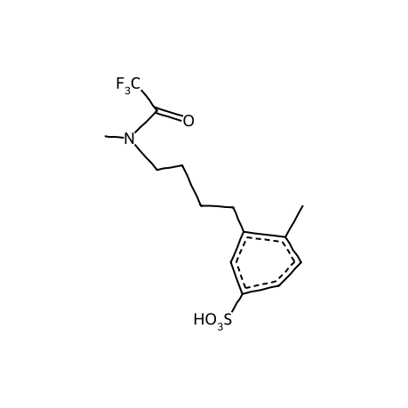 Cc1ccc(S(=O)(=O)O)cc1CCCCN(C)C(=O)C(F)(F)F